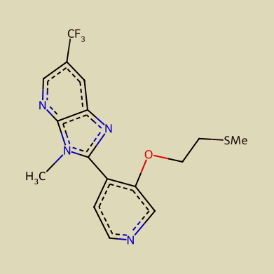 CSCCOc1cnccc1-c1nc2cc(C(F)(F)F)cnc2n1C